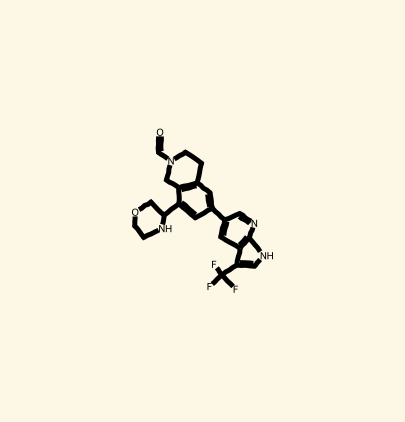 O=CN1CCc2cc(-c3cnc4[nH]cc(C(F)(F)F)c4c3)cc(C3COCCN3)c2C1